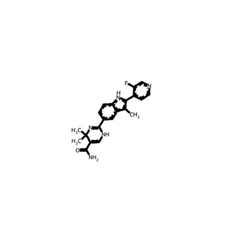 Cc1c(-c2ccncc2F)[nH]c2ccc(C3=NC(C)(C)C(C(N)=O)=CN3)cc12